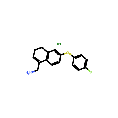 Cl.NCC1=CCCc2cc(Sc3ccc(F)cc3)ccc21